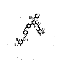 C=CCC(CC)C(C)CC(=O)NCCN1CCN(Cc2ccc(-c3cc(C(=O)NCc4c(C)cc(C)[nH]c4=O)c(C)c(N(CC)C4CCOCC4)c3)cc2)CC1